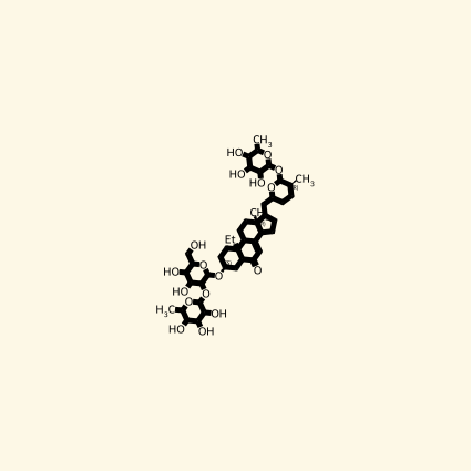 CCC12CC[C@H](OC3OC(CO)C(O)C(O)C3OC3OC(C)C(O)C(O)C3O)CC1C(=O)C=C1C2CC[C@]2(C)C(CC3CC[C@@H](C)C(OC4OC(C)C(O)C(O)C4O)O3)CCC12